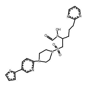 O=CN(O)C(CCCc1ncccn1)CS(=O)(=O)N1CCN(c2ccc(-c3cccs3)cn2)CC1